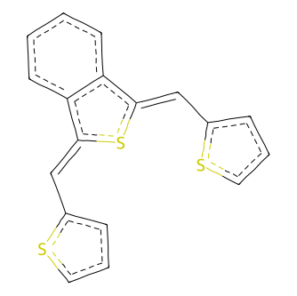 C(c1cccs1)=c1sc(=Cc2cccs2)c2ccccc12